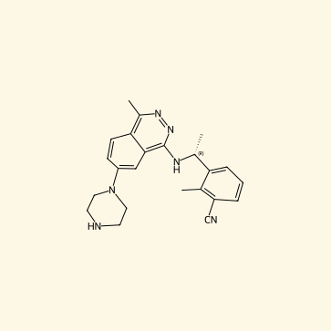 Cc1c(C#N)cccc1[C@@H](C)Nc1nnc(C)c2ccc(N3CCNCC3)cc12